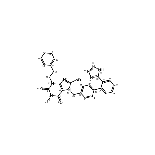 CCCCc1nc2c(c(=O)n(CC)c(=O)n2CCc2ccccc2)n1Cc1ccc(-c2ccccc2-c2nnn[nH]2)cc1